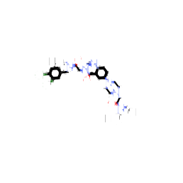 CCN(CC)C(=O)CN1CCN(c2ccc3ncn(CC(=O)N(C)Cc4ccc(Cl)c(Cl)c4)c(=O)c3c2)CC1